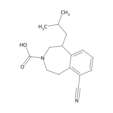 CC(C)CC1CN(C(=O)O)CCc2c(C#N)cccc21